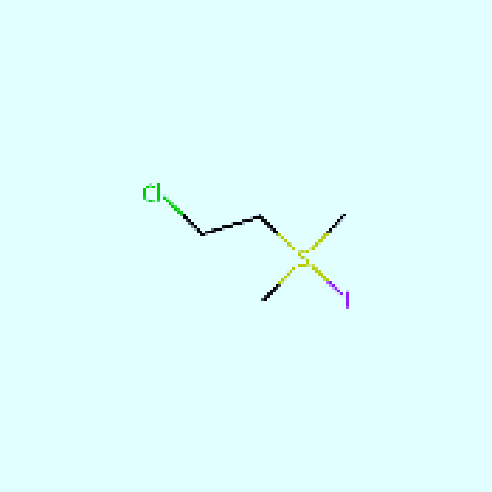 CS(C)(I)CCCl